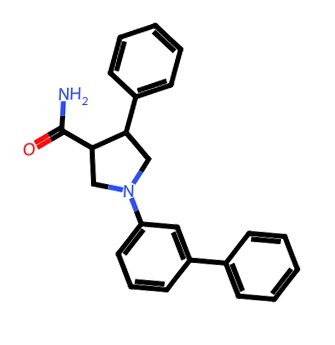 NC(=O)C1CN(c2cccc(-c3ccccc3)c2)CC1c1ccccc1